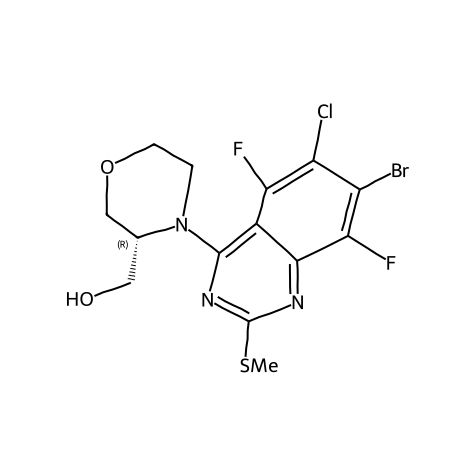 CSc1nc(N2CCOC[C@H]2CO)c2c(F)c(Cl)c(Br)c(F)c2n1